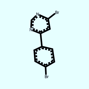 Brc1ccc(-c2cc(Br)ncn2)cc1